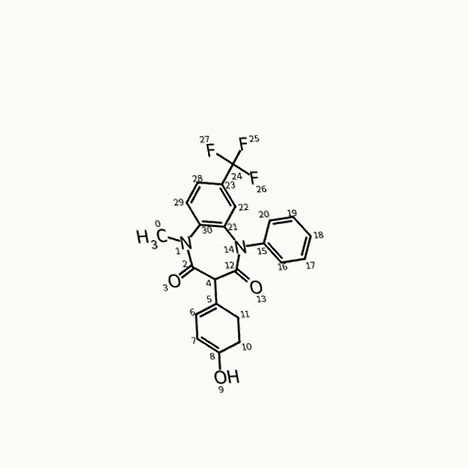 CN1C(=O)C(C2=CC=C(O)CC2)C(=O)N(c2ccccc2)c2cc(C(F)(F)F)ccc21